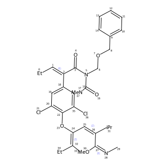 CC/C=C(/C(=O)N(COCc1ccccc1)C(=O)NC)c1cc(Cl)c(OC(/C=C(\C(=N/C)OC)C(C)C)=C(/C)CC)c(Cl)c1